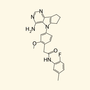 COc1cc(-n2c3c(c4ncnc(N)c42)CCC3)ccc1CC(=O)Nc1cc(C)ccc1F